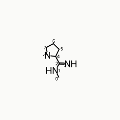 CNC(=N)C1CCC[N]1